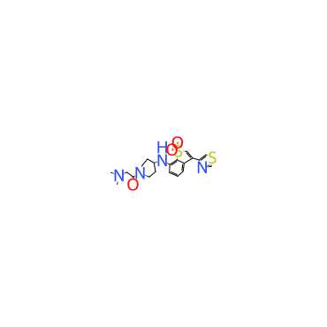 CN(C)CC(=O)N1CCC(Nc2cccc3c2S(=O)(=O)C=C3c2cscn2)CC1